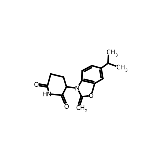 C=C1Oc2cc(C(C)C)ccc2N1C1CCC(=O)NC1=O